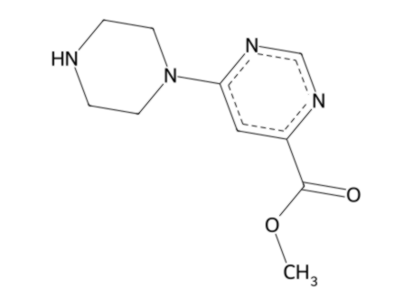 COC(=O)c1cc(N2CCNCC2)ncn1